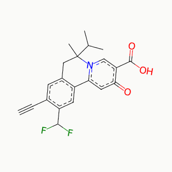 C#Cc1cc2c(cc1C(F)F)-c1cc(=O)c(C(=O)O)cn1C(C)(C(C)C)C2